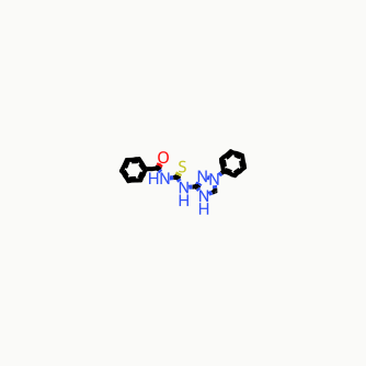 O=C(NC(=S)NC1=NN(c2ccccc2)CN1)c1ccccc1